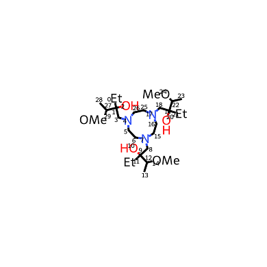 CCC(O)(CN1CCN(CC(O)(CC)C(C)OC)CCN(CC(O)(CC)C(C)OC)CC1)C(C)OC